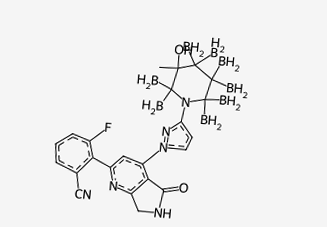 BC1(B)N(c2ccn(-c3cc(-c4c(F)cccc4C#N)nc4c3C(=O)NC4)n2)C(B)(B)C(C)(O)C(B)(B)C1(B)B